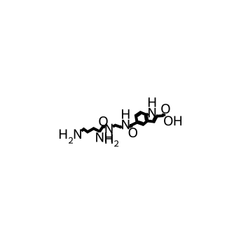 NCCCC(N)C(=O)NCCNC(=O)c1ccc2[nH]c(C(=O)O)cc2c1